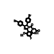 CCOc1cc(F)ccc1C1=NC(c2ccc(Br)cc2)C(c2ccc(Br)cc2)N1C(=O)N1CCNC(=O)C1